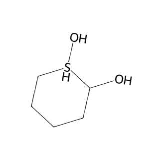 OC1CCCC[SH]1O